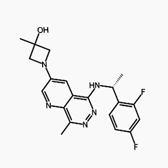 Cc1nnc(N[C@H](C)c2ccc(F)cc2F)c2cc(N3CC(C)(O)C3)cnc12